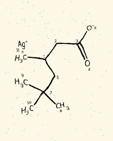 CC(CC(=O)[O-])CC(C)(C)C.[Ag+]